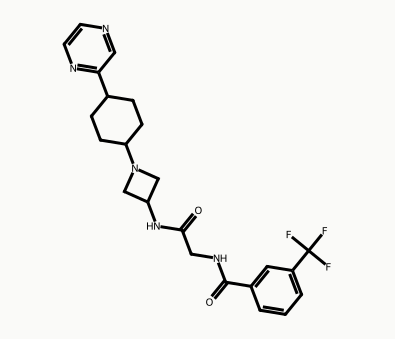 O=C(CNC(=O)c1cccc(C(F)(F)F)c1)NC1CN(C2CCC(c3cnccn3)CC2)C1